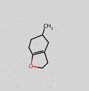 CC1CCC2=C(CCO2)C1